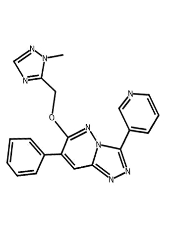 Cn1ncnc1COc1nn2c(-c3cccnc3)nnc2cc1-c1ccccc1